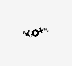 CC(C)(N)c1ccc(OC(F)(F)F)cc1